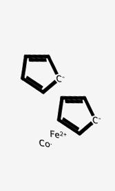 [Co].[Fe+2].c1cc[cH-]c1.c1cc[cH-]c1